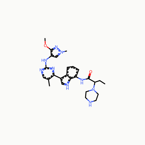 CCC(C(=O)Nc1cccc2c(-c3nc(Nc4cn(C)nc4OC)ncc3C)c[nH]c12)N1CCNCC1